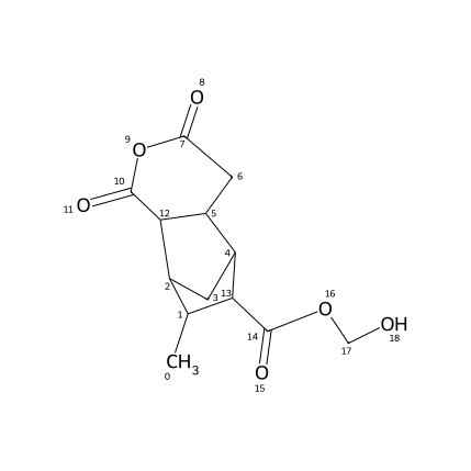 CC1C2CC(C3CC(=O)OC(=O)C23)C1C(=O)OCO